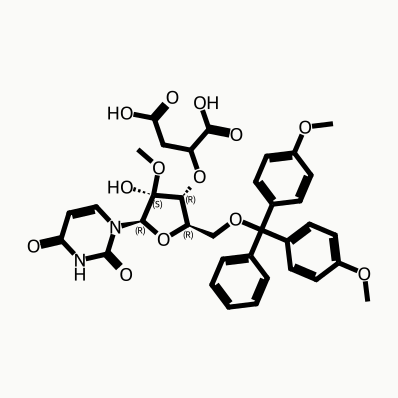 COc1ccc(C(OC[C@H]2O[C@@H](n3ccc(=O)[nH]c3=O)[C@@](O)(OC)[C@@H]2OC(CC(=O)O)C(=O)O)(c2ccccc2)c2ccc(OC)cc2)cc1